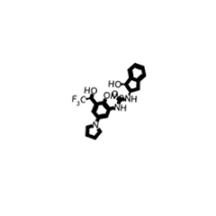 COc1c(NC(=O)N[C@@H]2Cc3ccccc3[C@@H]2O)cc(N2CCCC2)cc1[C@H](O)C(F)(F)F